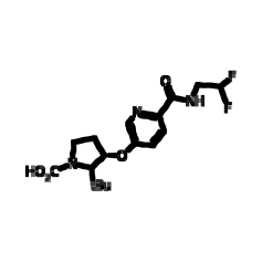 CC(C)(C)C1[C@H](Oc2ccc(C(=O)NCC(F)F)nc2)CCN1C(=O)O